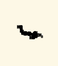 C[C@H](O)c1nccn1C(/C=C/c1ccc(-c2ccc(OC3CN(CCO)C3)cc2)cc1)CO